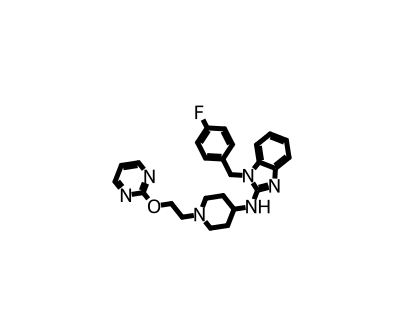 Fc1ccc(Cn2c(NC3CCN(CCOc4ncccn4)CC3)nc3ccccc32)cc1